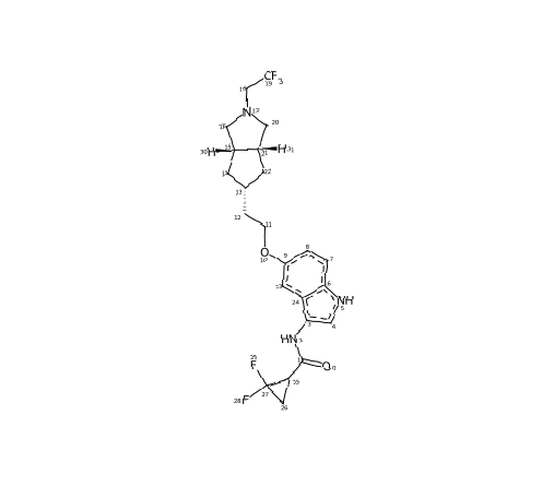 O=C(Nc1c[nH]c2ccc(OCC[C@@H]3C[C@@H]4CN(CC(F)(F)F)C[C@@H]4C3)cc12)C1CC1(F)F